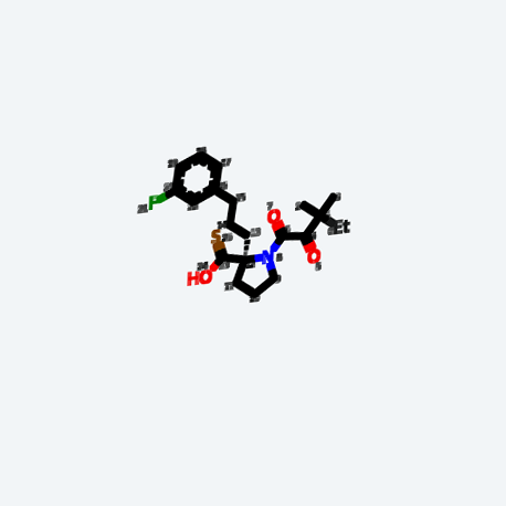 CCC(C)(C)C(=O)C(=O)N1CCC[C@@]1(CCCc1cccc(F)c1)C(O)=S